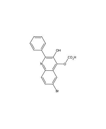 O=C(O)Oc1c(O)c(-c2ccccc2)nc2ccc(Br)cc12